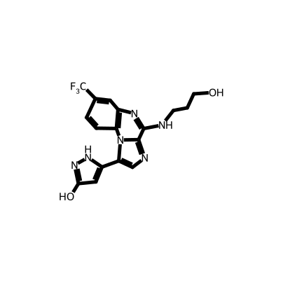 OCCCNc1nc2cc(C(F)(F)F)ccc2n2c(-c3cc(O)n[nH]3)cnc12